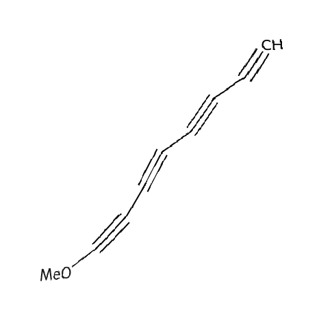 C#CC#CC#CC#COC